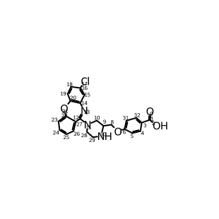 O=C(O)c1ccc(OCC2CN(C3=Nc4cc(Cl)ccc4Oc4ccccc43)CCN2)cc1